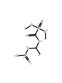 COP(=O)(OC)C(=O)OC(C)O[N+](=O)[O-]